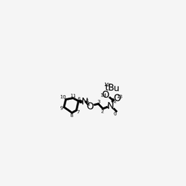 CN(CCON=C1CCCCC1)C(=O)OC(C)(C)C